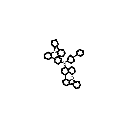 c1ccc(-c2ccc(N(c3ccc(-c4ccccc4-n4c5ccccc5c5ccccc54)cc3)c3ccc(-c4cccc5c4oc4ccccc45)c4ccccc34)cc2)cc1